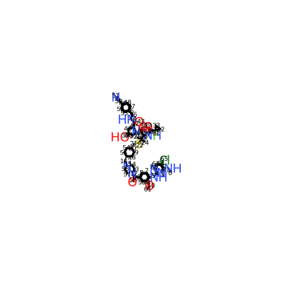 CNc1nc(Nc2ccc(C(=O)N3CCN(C[C@H]4CC[C@H](CSC(C)(C)[C@H](NC(=O)C5(F)CC5)C(=O)N5C[C@H](O)CC5C(=O)NCc5ccc(C#N)cc5)CC4)CC3)cc2OC)ncc1Cl